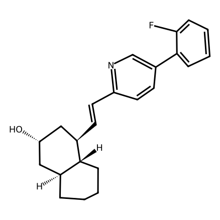 O[C@H]1C[C@@H]2CCCC[C@H]2[C@H](/C=C/c2ccc(-c3ccccc3F)cn2)C1